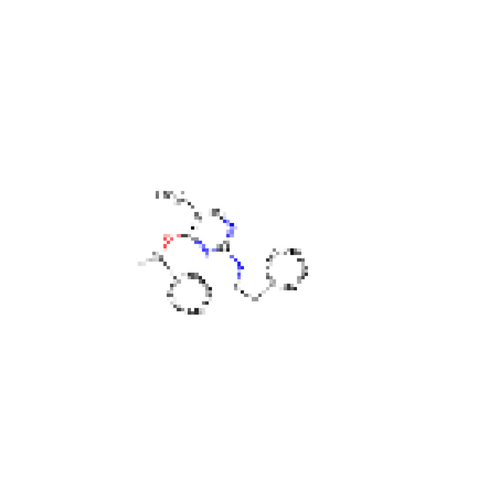 CCOC(=O)c1cnc(N2CCc3ccccc32)nc1O[C@@H](C)c1ccccc1